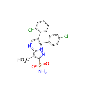 NS(=O)(=O)c1nn2c(-c3ccc(Cl)cc3)c(-c3ccccc3Cl)cnc2c1C(=O)O